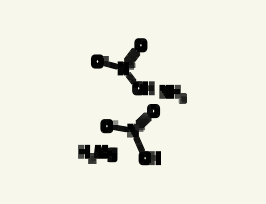 N.O=[N+]([O-])O.O=[N+]([O-])O.[MgH2]